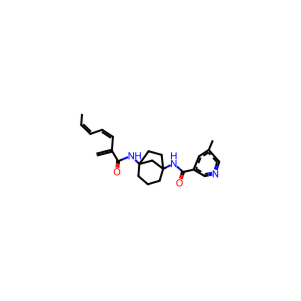 C=C(/C=C\C=C/C)C(=O)NC12CCCC(NC(=O)c3cncc(C)c3)(CC1)C2